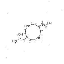 CC(O)CN1CCNCCN(NC=O)CCNCC1